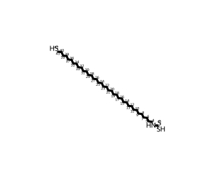 S=C(S)NCCCCCCCCCCCCCCCCCCCCCCCCCCCCCCCCCCCCCCS